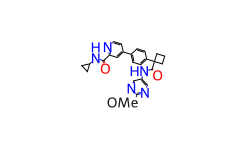 COc1ncc(NC(=O)C2(c3ccc(-c4ccnc(C(=O)NC5CC5)c4)cc3)CCC2)cn1